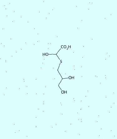 O=C(O)C(O)SCC(O)CO